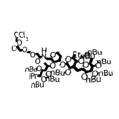 CCCCOCC1OC(CC2C(OCCCC)C(CC)OC(OC3CCOC(CNC(=O)COCCOCC(=O)OCC(Cl)(Cl)Cl)C3OC(C)C(OCCCC)C(OCCCC)C(OCCCC)C(C)C)C2OCCCC)C(OCCCC)C(OCCCC)C1OCCCC